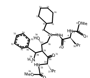 COC(=O)N[C@H](C(=O)NN(CC1CCCCC1)C[C@@H](O)C(C(=O)[C@@H](NC(=O)OC)C(C)C)C(N)c1ccccc1)C(C)C